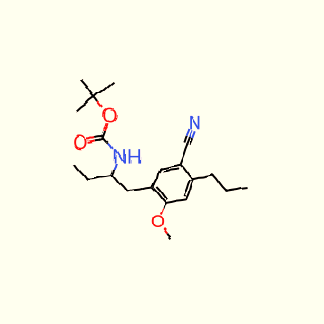 CCCc1cc(OC)c(CC(CC)NC(=O)OC(C)(C)C)cc1C#N